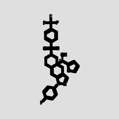 O=S(=O)(c1ccc(C(F)(F)F)cc1)N1CCC2=Cc3c(cnn3-c3ccc(F)cc3)CC2([C@H](O)c2ccco2)C1